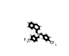 FC(F)(F)c1ccc(CN(/C=C2\CCCc3ccccc32)Cc2ccc(C(F)(F)F)cc2)cc1